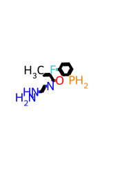 C/C=C/C(=N\C=C\NN)Oc1c(F)cccc1P